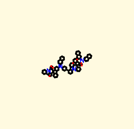 c1ccc2c(c1)-c1cc(N(c3ccc(-c4cccc5c4c4cccc6c4n5-c4ccccc4C64c5ccccc5-c5c(N(c6ccc7ccccc7c6)c6ccc7ccccc7c6)cccc54)cc3)c3ccc4ccccc4c3)ccc1C21c2ccccc2-n2c3ccccc3c3cccc1c32